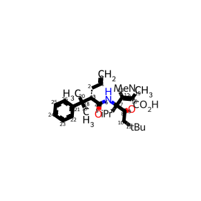 C=CC[C@H](C(=O)NC(C(=O)CC(C)(C)C)(C(NC)=C(C)C(=O)O)C(C)C)C(C)(C)c1ccccc1